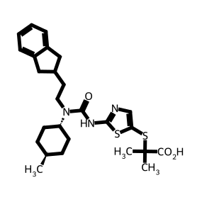 CC(C)(Sc1cnc(NC(=O)N(CCC2Cc3ccccc3C2)[C@H]2CC[C@H](C)CC2)s1)C(=O)O